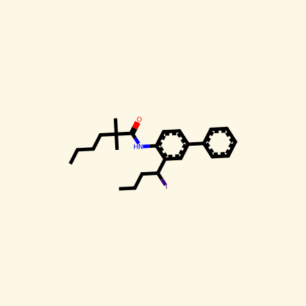 CCCCC(C)(C)C(=O)Nc1ccc(-c2ccccc2)cc1C(I)CCC